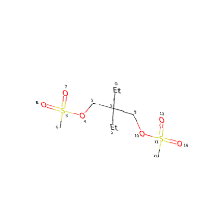 CCC(CC)(COS(C)(=O)=O)COS(C)(=O)=O